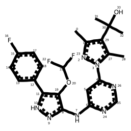 Cc1nn(-c2cc(Nc3n[nH]c(-c4ccc(F)cc4)c3OC(F)F)ncn2)c(C)c1C(C)(C)O